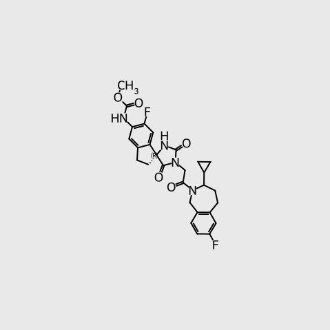 COC(=O)Nc1cc2c(cc1F)[C@@]1(CC2)NC(=O)N(CC(=O)N2Cc3ccc(F)cc3CCC2C2CC2)C1=O